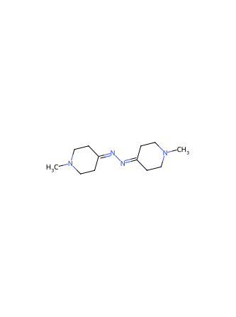 CN1CCC(=NN=C2CCN(C)CC2)CC1